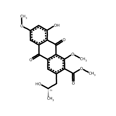 COC(=O)c1c(C[C@H](C)O)cc2c(c1OC)C(=O)c1c(O)cc(OC)cc1C2=O